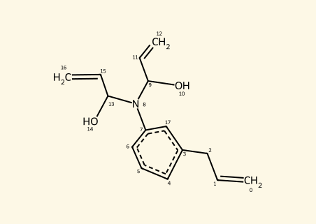 C=CCc1cccc(N(C(O)C=C)C(O)C=C)c1